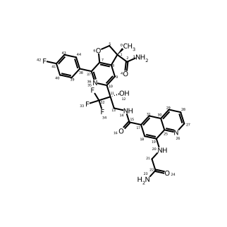 C[C@]1(C(N)=O)COc2c1cc([C@@](O)(CNC(=O)c1cc(NCC(N)=O)c3ncccc3c1)C(F)(F)F)nc2-c1ccc(F)cc1